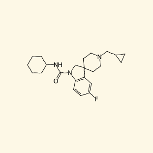 O=C(NC1CCCCC1)N1CC2(CCN(CC3CC3)CC2)c2cc(F)ccc21